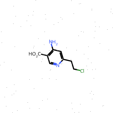 Nc1cc(CCCl)ncc1C(=O)O